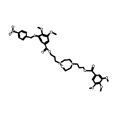 COc1cc(C(=O)OCCCN2CCCN(CCCOC(=O)c3cc(OC)c(OC)c(SCc4ccc([N+](=O)[O-])cc4)c3)CC2)cc(OC)c1OC